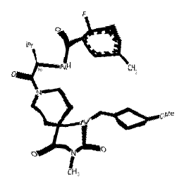 COC1CC(CN2C(=O)N(C)C(=O)C23CCN(C(=O)[C@H](NC(=O)c2cc(C)ccc2F)C(C)C)CC3)C1